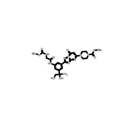 CC(C)(C)OC(=O)NCC(=O)Nc1cc(-c2nn3c(=O)cc(N4CCN(C(=O)OC(C)(C)C)CC4)nc3s2)cc(C(C)(O)CO)c1